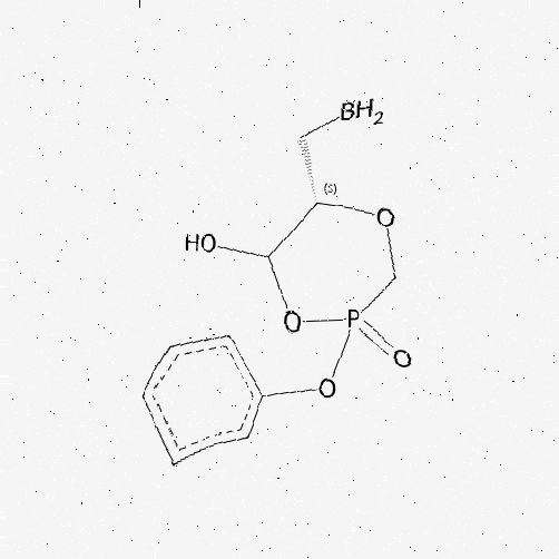 BC[C@@H]1OCP(=O)(Oc2ccccc2)OC1O